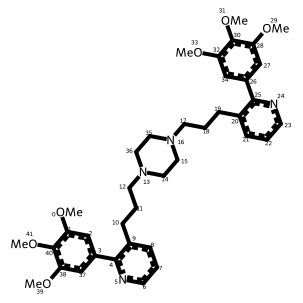 COc1cc(-c2ncccc2CCCN2CCN(CCCc3cccnc3-c3cc(OC)c(OC)c(OC)c3)CC2)cc(OC)c1OC